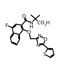 CC(C)(NC(=O)c1cc(F)c2ccccc2c1OCc1noc(-c2cccs2)n1)C(=O)O